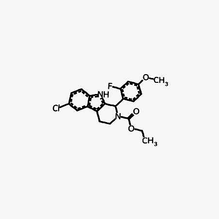 CCOC(=O)N1CCc2c([nH]c3ccc(Cl)cc23)C1c1ccc(OC)cc1F